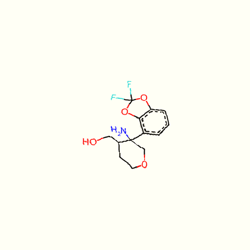 NC1(c2cccc3c2OC(F)(F)O3)COCCC1CO